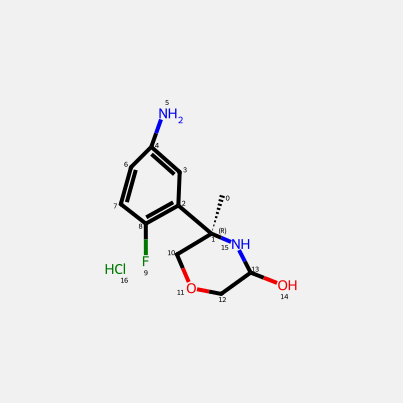 C[C@@]1(c2cc(N)ccc2F)COCC(O)N1.Cl